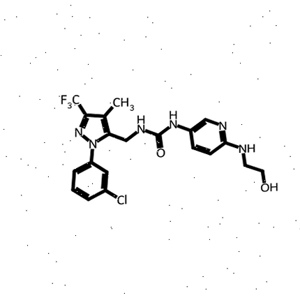 Cc1c(C(F)(F)F)nn(-c2cccc(Cl)c2)c1CNC(=O)Nc1ccc(NCCO)nc1